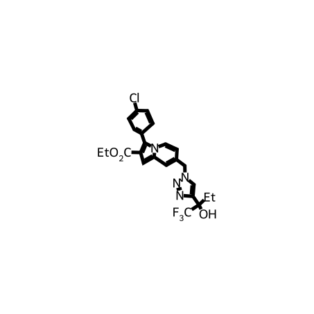 CCOC(=O)c1cc2cc(Cn3cc(C(O)(CC)C(F)(F)F)nn3)ccn2c1-c1ccc(Cl)cc1